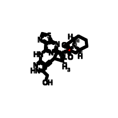 CN(c1nc(Nc2cc(CO)[nH]n2)c2ncsc2n1)[C@@H]1C[C@H]2CCC[C@@H](C1)N2S(=O)(=O)N1CC(C#N)C1